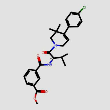 COC(=O)c1cccc(C(=O)N[C@@H](C(=O)N2CC=C(c3ccc(Cl)cc3)C(C)(C)C2)C(C)C)c1